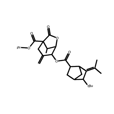 C=C1CC2(C(=O)OC(C)C)C(=O)OC(C1OC(=O)C1CC3CC1C(=C(C)C)C3C(C)(C)C)C2C